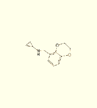 c1cc(CNC2CC2)c2c(c1)OCCO2